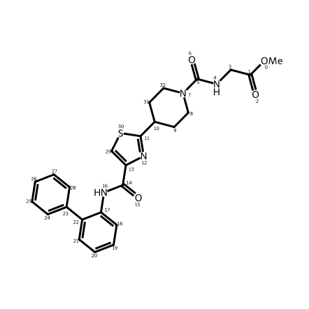 COC(=O)CNC(=O)N1CCC(c2nc(C(=O)Nc3ccccc3-c3ccccc3)cs2)CC1